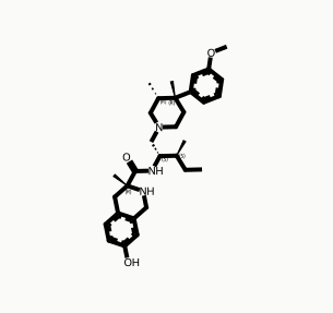 CC[C@H](C)[C@@H](CN1CC[C@@](C)(c2cccc(OC)c2)[C@@H](C)C1)NC(=O)[C@@]1(C)Cc2ccc(O)cc2CN1